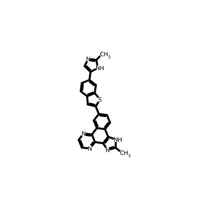 Cc1ncc(-c2ccc3cc(-c4ccc5c(c4)c4nccnc4c4nc(C)[nH]c54)sc3c2)[nH]1